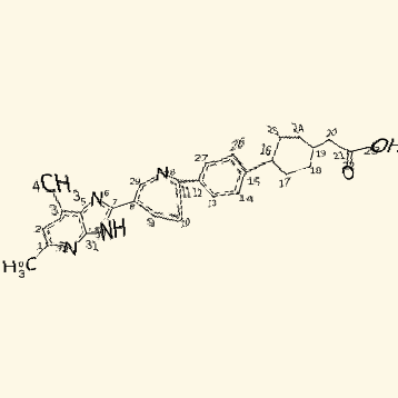 Cc1cc(C)c2nc(-c3ccc(-c4ccc(C5CCC(CC(=O)O)CC5)cc4)nc3)[nH]c2n1